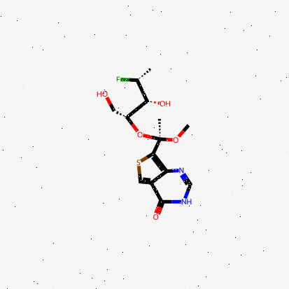 CO[C@](C)(O[C@H](CO)[C@@H](O)[C@@H](C)F)c1scc2c(=O)[nH]cnc12